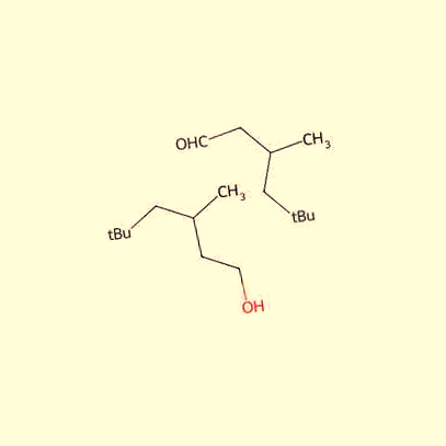 CC(CC=O)CC(C)(C)C.CC(CCO)CC(C)(C)C